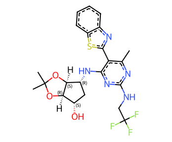 Cc1nc(NCC(F)(F)F)nc(N[C@@H]2C[C@H](O)[C@H]3OC(C)(C)O[C@H]32)c1-c1nc2ccccc2s1